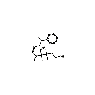 C=CC(C)(N(C)/C=N\CN(C)c1ccccc1)C(C)(C)CCO